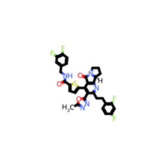 Cc1nnc(-c2c(CCc3ccc(F)cc3F)nc3c(c2-c2ccc(C(=O)NCc4ccc(F)c(F)c4)s2)C(=O)N2CCC[C@@H]32)o1